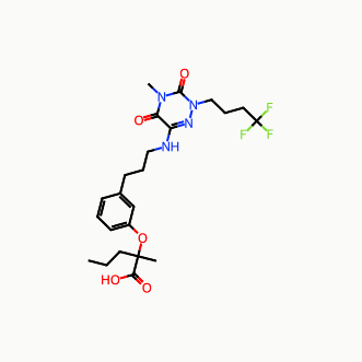 CCCC(C)(Oc1cccc(CCCNc2nn(CCCC(F)(F)F)c(=O)n(C)c2=O)c1)C(=O)O